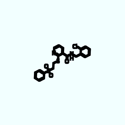 O=C(NCc1ccccc1Cl)c1cccnc1SCCS(=O)(=O)c1ccccc1